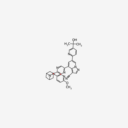 COc1ccc(CN2C3CC2CN(c2cnc(-c4cc(-c5ccc(C(C)(C)O)cn5)cn5ncc(C#N)c45)cn2)C3)cn1